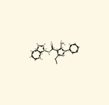 CCc1nn(-c2ccccc2)c(N)c1C(=O)On1nnc2cccnc21